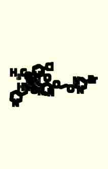 COc1ccc(Cl)c(Oc2c(NS(=O)(=O)NCc3cccnc3)ncnc2OCCOc2ncc(Br)cn2)c1